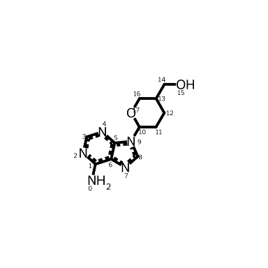 Nc1ncnc2c1ncn2C1CCC(CO)CO1